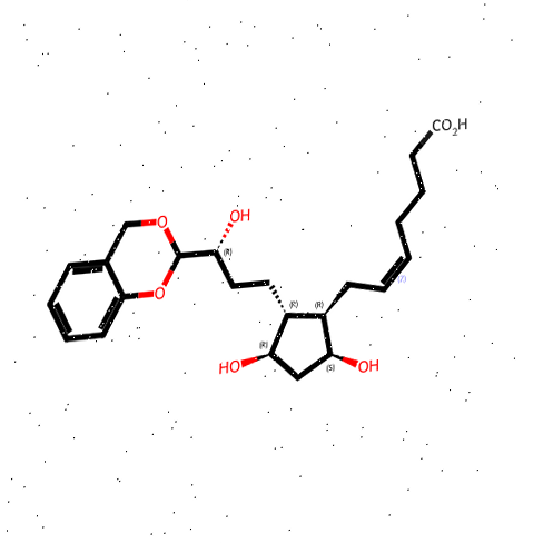 O=C(O)CCC/C=C\C[C@@H]1[C@@H](CC[C@@H](O)C2OCc3ccccc3O2)[C@H](O)C[C@@H]1O